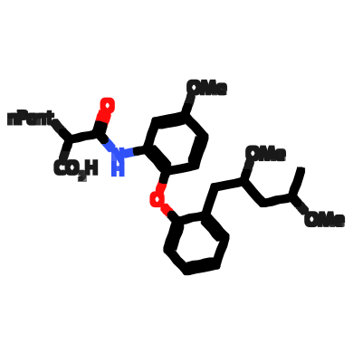 CCCCCC(C(=O)O)C(=O)Nc1cc(OC)ccc1Oc1ccccc1CC(CC(C)OC)OC